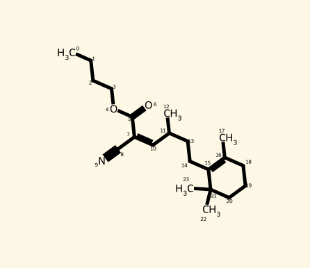 CCCCOC(=O)C(C#N)=CC(C)CCC1=C(C)CCCC1(C)C